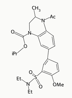 CCN(CC)S(=O)(=O)c1cc(-c2ccc3c(c2)N(C(=O)OC(C)C)CC(C)N3C(C)=O)ccc1OC